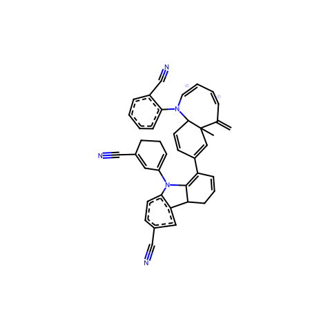 C=C1/C=C\C=C/N(c2ccccc2C#N)C2C=CC(C3=C4C(CC=C3)c3cc(C#N)ccc3N4C3=CCCC(C#N)=C3)=CC12C